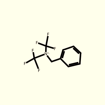 FC(F)(F)[N+](Cc1ccccc1)C(F)(F)F